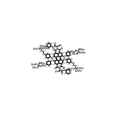 CO[Si](CCOc1ccc(Oc2cc3c4c(cc(Oc5ccc(OCC[Si](OC)(OC)OC)cc5)c5c6c(Oc7ccc(OCC[Si](OC)(OC)OC)cc7)cc7c8c(cc(Oc9ccc(OCC[Si](OC)(OC)OC)cc9)c(c2c45)c86)C(=O)N(C(C(=O)Oc2ccncc2)C(C)C)C7=O)C(=O)N(C(C(=O)Oc2ccncc2)C(C)C)C3=O)cc1)(OC)OC